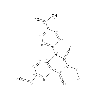 CCOC(=S)N(c1ccc(C(=O)O)cc1)c1ccc(C=O)cc1C=O